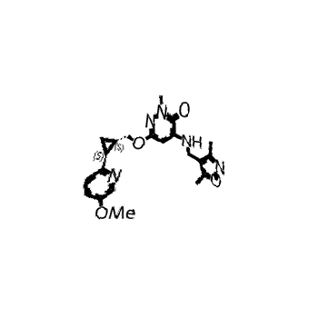 COc1ccc([C@H]2C[C@@H]2COc2cc(NCc3c(C)noc3C)c(=O)n(C)n2)nc1